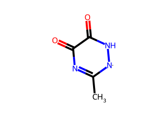 CC1=NC(=O)C(=O)N[N]1